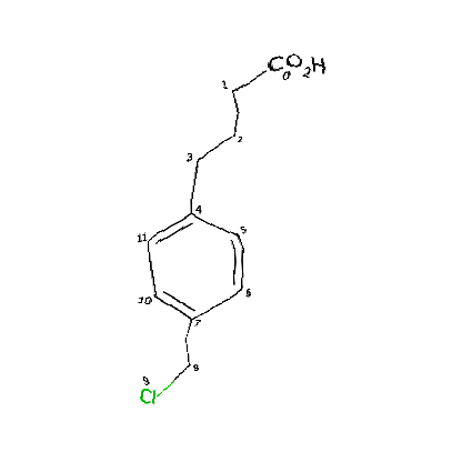 O=C(O)CCCc1ccc(CCl)cc1